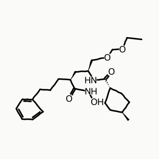 CCOCOC[C@H](C[C@H](CCCc1ccccc1)C(=O)NO)NC(=O)[C@H]1CC[C@H](C)CC1